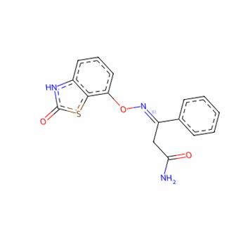 NC(=O)C/C(=N\Oc1cccc2[nH]c(=O)sc12)c1ccccc1